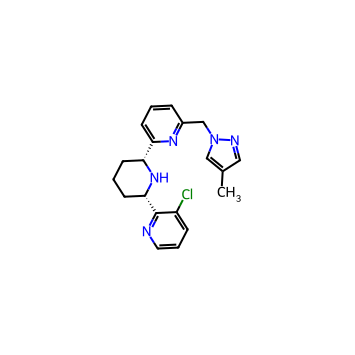 Cc1cnn(Cc2cccc([C@H]3CCC[C@@H](c4ncccc4Cl)N3)n2)c1